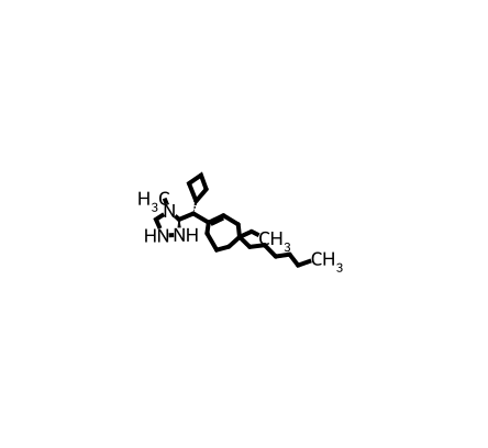 CCCCCCC1(CC)CC=C([C@@H](C2CCC2)[C@H]2NNCN2C)CCC1